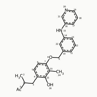 CC(=O)C(C)Cc1ccc(OCc2cccc(Nc3cccnc3)c2)c(C)c1O